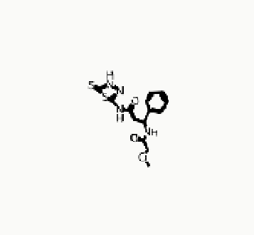 COCC(=O)NC(CC(=O)Nc1n[nH]c(=S)s1)c1ccccc1